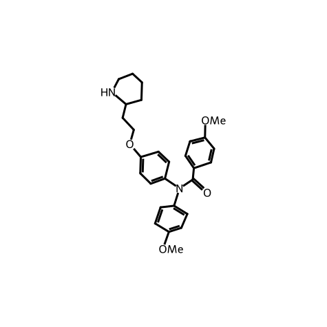 COc1ccc(C(=O)N(c2ccc(OC)cc2)c2ccc(OCCC3CCCCN3)cc2)cc1